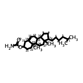 CC(C)CCCCC1CCC2C3CC=C4CC(OC(N)=O)CCC4(C)C3CCC12C